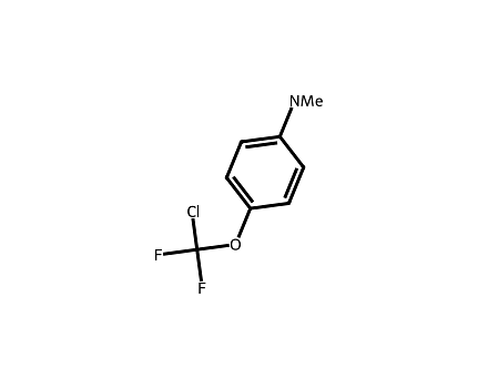 CNc1ccc(OC(F)(F)Cl)cc1